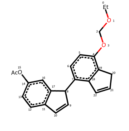 CCOCOc1ccc(C2C=Cc3ccc(OC(C)=O)cc32)c2c1CC=C2